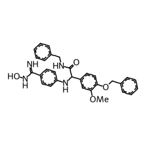 COc1cc(C(Nc2ccc(C(=N)NO)cc2)C(=O)NCc2ccccc2)ccc1OCc1ccccc1